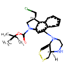 CC(C)(C)OC(=O)N1C[C@@H](CCl)c2c1cc(N1CCN[C@H]3CSSC=C31)c1ccccc21